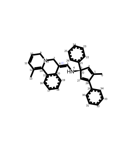 CC1=C[C@@](N/C=C2/CN3CC=CC(C)=C3c3ccccc32)(c2ccccc2)C=C1c1ccccc1